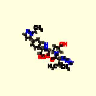 CCn1nccc1-c1ccc([C@H](CO)NC(=O)[C@@H]2C[C@@H](O)CN2C(=O)[C@@H](N=[N+]=[N-])C(C)C)cc1